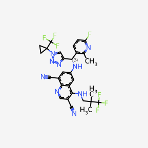 Cc1nc(F)ccc1[C@H](Nc1cc(C#N)c2ncc(C#N)c(NCC(C)(C)C(F)(F)F)c2c1)c1cn(C2(C(F)(F)F)CC2)nn1